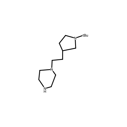 CC(C)(C)N1CCC(CCN2CCNCC2)C1